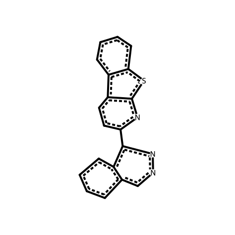 c1ccc2c(-c3ccc4c(n3)sc3ccccc34)nncc2c1